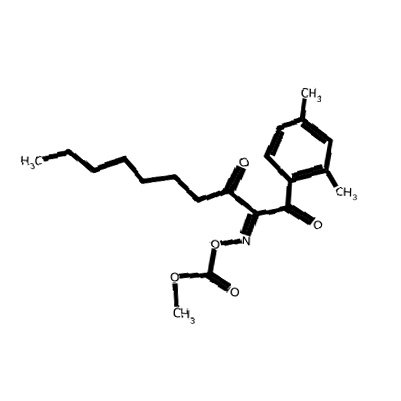 CCCCCCCC(=O)/C(=N\OC(=O)OC)C(=O)c1ccc(C)cc1C